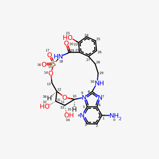 Nc1ccnc2c1nc1n2[C@@H]2O[C@H](COS(=O)(=O)NC(=O)c3c(O)cccc3CCN1)[C@@H](O)[C@H]2O